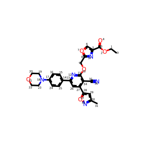 CCOC(=O)c1coc(COc2nc(-c3ccc(N4CCOCC4)cc3)cc(-c3cc(C)no3)c2C#N)n1